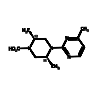 Cc1ccnc(N2C[C@@H](C)N(C(=O)O)C[C@H]2C)n1